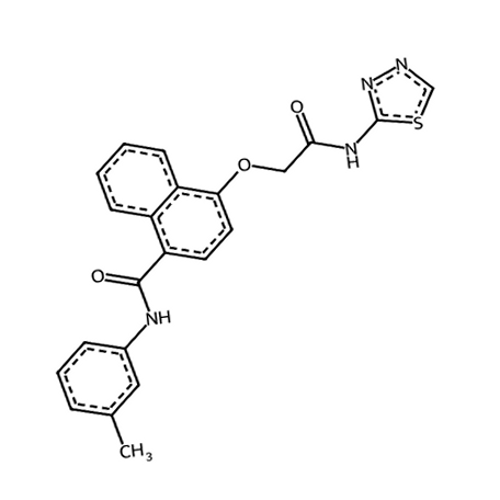 Cc1cccc(NC(=O)c2ccc(OCC(=O)Nc3nncs3)c3ccccc23)c1